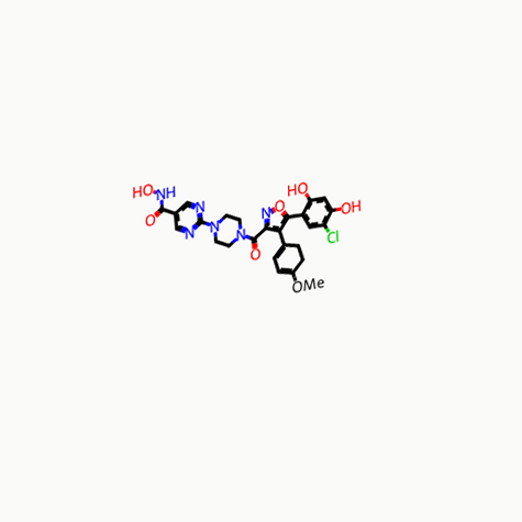 COC1=CC=C(c2c(C(=O)N3CCN(c4ncc(C(=O)NO)cn4)CC3)noc2-c2cc(Cl)c(O)cc2O)CC1